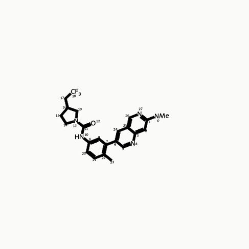 CNc1cc2ncc(-c3cc(NC(=O)N4CCC(CC(F)(F)F)C4)ccc3C)cc2cn1